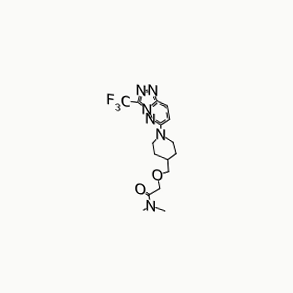 CN(C)C(=O)COCC1CCN(c2ccc3nnc(C(F)(F)F)n3n2)CC1